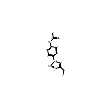 CCc1cn(-c2ccc(NC(C)=O)cc2)nn1